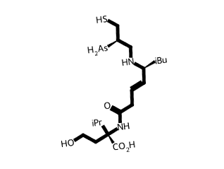 CCC(C)[C@@H](/C=C/CC(=O)N[C@@](CCO)(C(=O)O)C(C)C)NC[C@@H]([AsH2])CS